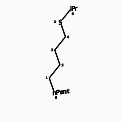 CCCCCCCCCSC(C)C